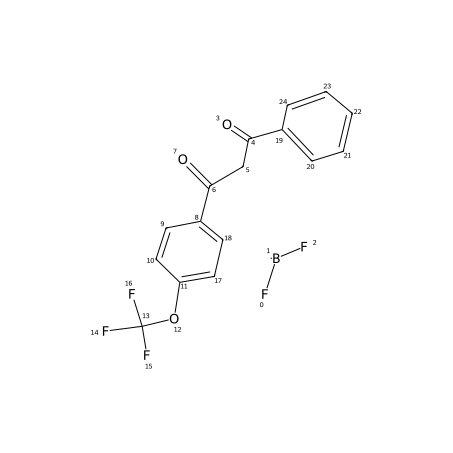 F[B]F.O=C(CC(=O)c1ccc(OC(F)(F)F)cc1)c1ccccc1